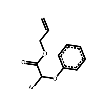 C=CCOC(=O)C(Oc1ccccc1)C(C)=O